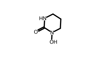 O=C1NCCCN1O